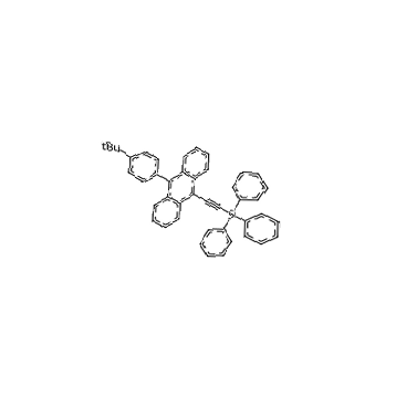 CC(C)(C)c1ccc(-c2c3ccccc3c(C#C[Si](c3ccccc3)(c3ccccc3)c3ccccc3)c3ccccc23)cc1